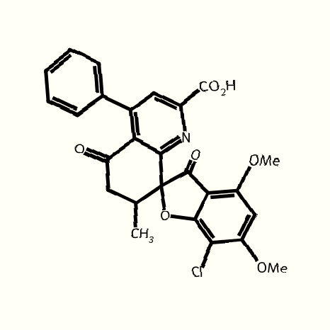 COc1cc(OC)c2c(c1Cl)OC1(C2=O)c2nc(C(=O)O)cc(-c3ccccc3)c2C(=O)CC1C